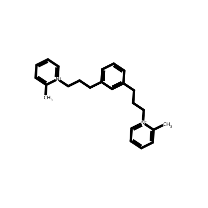 Cc1cccc[n+]1CCCc1cccc(CCC[n+]2ccccc2C)c1